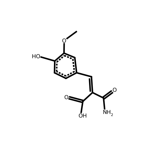 COc1cc(C=C(C(N)=O)C(=O)O)ccc1O